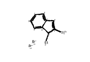 CCC1[C]([Ti+2])=Cc2ccccc21.[Br-].[Br-]